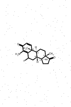 C[C@]12C=CC(=O)C(N)=C1C(F)C[C@@H]1[C@@H]2CC[C@]2(C)C(=O)CC[C@@H]12